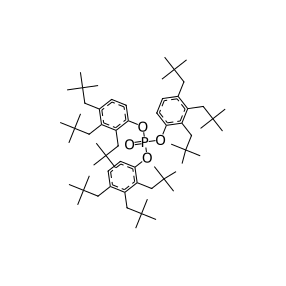 CC(C)(C)Cc1ccc(OP(=O)(Oc2ccc(CC(C)(C)C)c(CC(C)(C)C)c2CC(C)(C)C)Oc2ccc(CC(C)(C)C)c(CC(C)(C)C)c2CC(C)(C)C)c(CC(C)(C)C)c1CC(C)(C)C